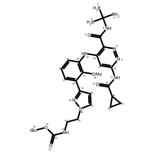 BC(B)(B)NC(=O)c1nnc(NC(=O)C2CC2)cc1Nc1cccc(-c2ccn(CCNC(=O)OC(C)(C)C)n2)c1OC